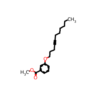 CCCCCCC#CCCCOc1cccc(C(=O)OC)c1